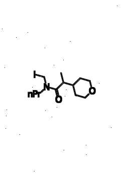 CCCN(CI)C(=O)C(C)C1CCOCC1